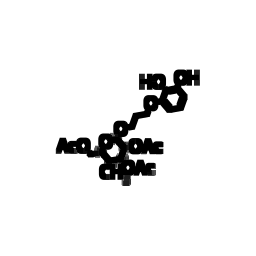 CC(=O)OC[C@H]1O[C@@H](OCCCOc2cccc(O)c2O)[C@H](OC(C)=O)[C@@H](OC(C)=O)[C@@H]1C